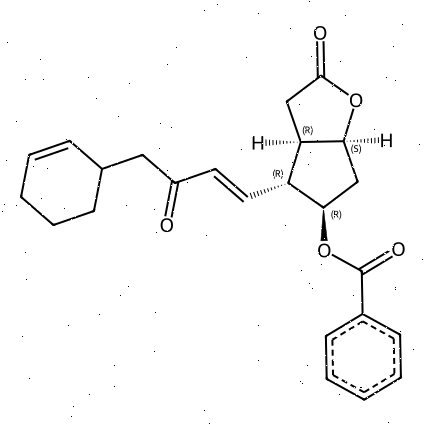 O=C(C=C[C@@H]1[C@H]2CC(=O)O[C@H]2C[C@H]1OC(=O)c1ccccc1)CC1C=CCCC1